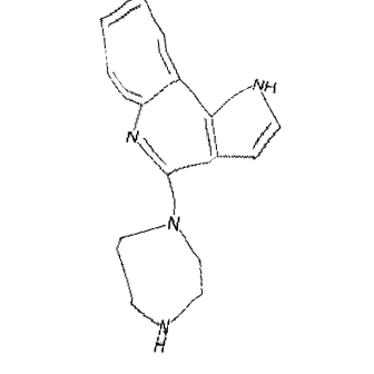 c1ccc2c(c1)nc(N1CCNCC1)c1cc[nH]c12